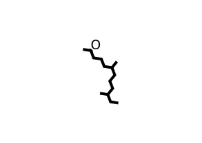 CCC(C)CCCC(C)CCCC(C)=O